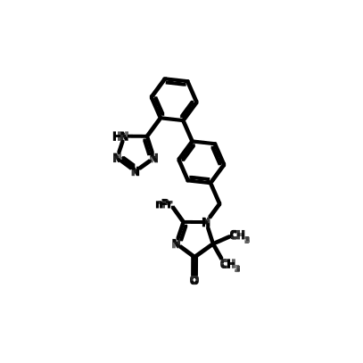 CCCC1=NC(=O)C(C)(C)N1Cc1ccc(-c2ccccc2-c2nnn[nH]2)cc1